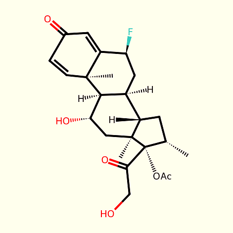 CC(=O)O[C@@]1(C(=O)CO)[C@@H](C)C[C@H]2[C@@H]3C[C@H](F)C4=CC(=O)C=C[C@]4(C)[C@@H]3[C@@H](O)C[C@@]21C